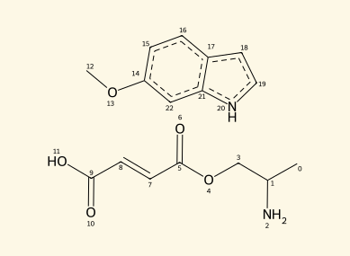 CC(N)COC(=O)/C=C/C(=O)O.COc1ccc2cc[nH]c2c1